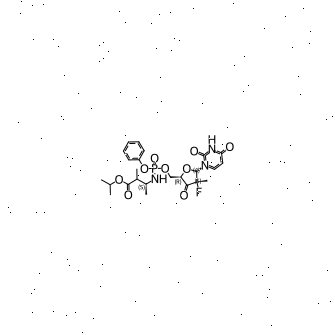 CC(C)OC(=O)C(C)[C@H](C)NP(=O)(OC[C@H]1O[C@@H](n2ccc(=O)[nH]c2=O)[C@](C)(F)C1=O)Oc1ccccc1